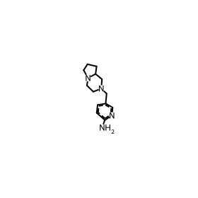 Nc1ccc(CN2CCN3CCCC3C2)cn1